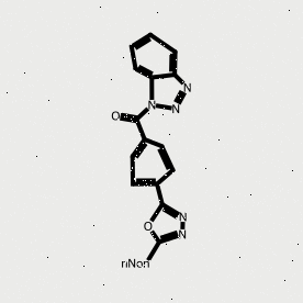 CCCCCCCCCc1nnc(-c2ccc(C(=O)n3nnc4ccccc43)cc2)o1